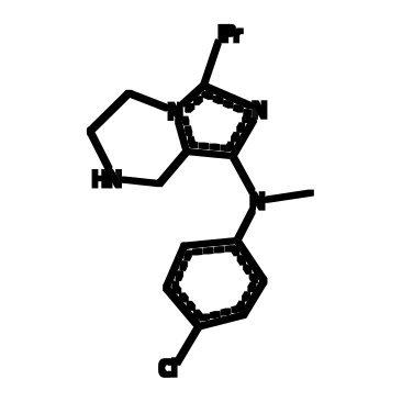 CC(C)c1nc(N(C)c2ccc(Cl)cc2)c2n1CCNC2